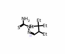 CCC(/C=N\NC(N)=S)C(CC)(CC)CC